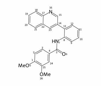 COc1ccc(C(=O)Nc2ccccc2-c2cnc3ccccc3c2)cc1OC